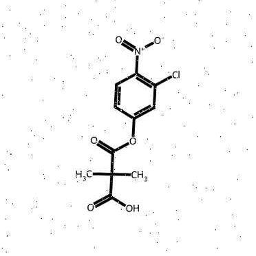 CC(C)(C(=O)O)C(=O)Oc1ccc([N+](=O)[O-])c(Cl)c1